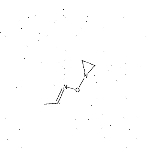 C[C]=NON1CC1